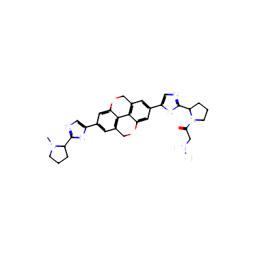 CN1CCCC1c1ncc(-c2cc3c4c(c2)OCc2cc(-c5cnc(C6CCCN6C(=O)CNC=O)[nH]5)cc(c2-4)OC3)[nH]1